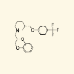 FC(F)(F)c1ccc(OC[C@H]2CCCN(CC3COc4ccccc4O3)C2)cc1